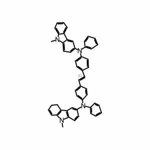 Cn1c2c(c3cc(N(c4ccccc4)c4ccc(/C=C/c5ccc(N(c6ccccc6)c6ccc7c(c6)c6ccccc6n7C)cc5)cc4)ccc31)CCC=C2